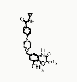 Cc1cc(CN2CCN(c3ccc(C(=O)NC4CC4)cc3)CC2)cc2c1OC(C)C(=O)N2